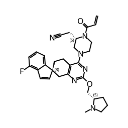 C=CC(=O)N1CCN(c2nc(OC[C@@H]3CCCN3C)nc3c2CC[C@]2(C=Cc4c(F)cccc42)C3)C[C@@H]1CC#N